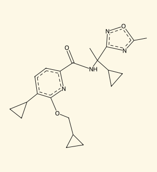 Cc1nc(C(C)(NC(=O)c2ccc(C3CC3)c(OCC3CC3)n2)C2CC2)no1